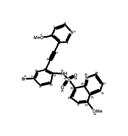 COc1ccncc1C#Cc1cc(Br)ccc1NS(=O)(=O)c1ccc(OC)c2cccnc12